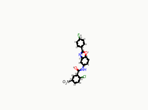 O=C(Nc1ccc2oc(-c3ccc(F)cc3)nc2c1)c1cc([N+](=O)[O-])ccc1Cl